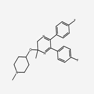 CN1CCC(OC2(C)CN=C(c3ccc(F)cc3)C(c3ccc(F)cc3)=N2)CC1